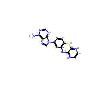 Nc1ncnc2c1ncn2-c1ccc2c(c1)Nc1nccnc1S2